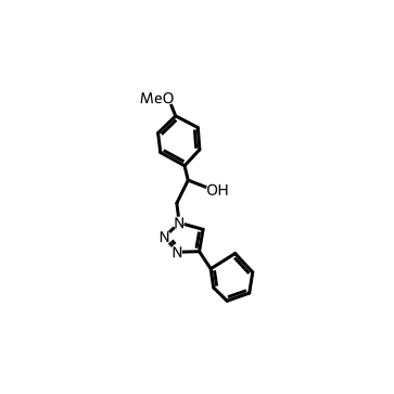 COc1ccc(C(O)Cn2cc(-c3ccccc3)nn2)cc1